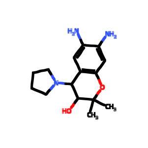 CC1(C)Oc2cc(N)c(N)cc2C(N2CCCC2)C1O